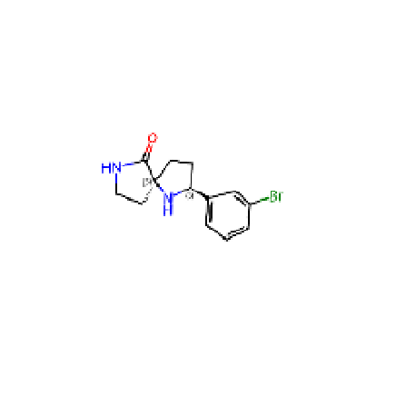 O=C1NCC[C@@]12CC[C@@H](c1cccc(Br)c1)N2